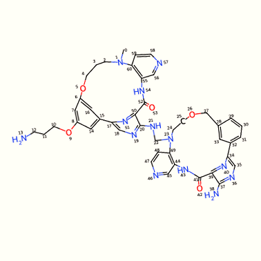 CN1CCCOc2cc(OCCCN)cc(c2)-c2cnc(NCN3CCOCc4cccc(c4)-c4cnc(N)c(n4)C(=O)Nc4cnccc43)c(n2)C(=O)Nc2cnccc21